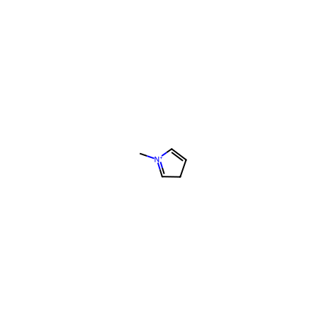 C[N+]1=CCC=C1